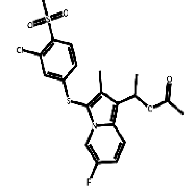 CC(=O)OC(C)c1c(C)c(Sc2ccc(S(C)(=O)=O)c(Cl)c2)n2cc(F)ccc12